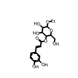 CCOC1OC(CO)C(OC(=O)/C=C/c2ccc(O)c(O)c2)C(O)C1O